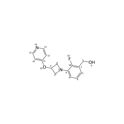 OCc1cccc(N2CC(Oc3ccncc3)C2)c1F